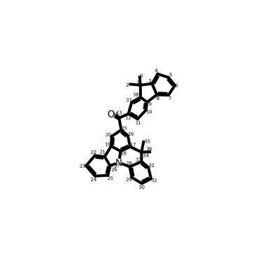 CC1(C)c2ccccc2-c2ccc(C(=O)c3cc4c5c(c3)c3ccccc3n5-c3ccccc3C4(C)C)cc21